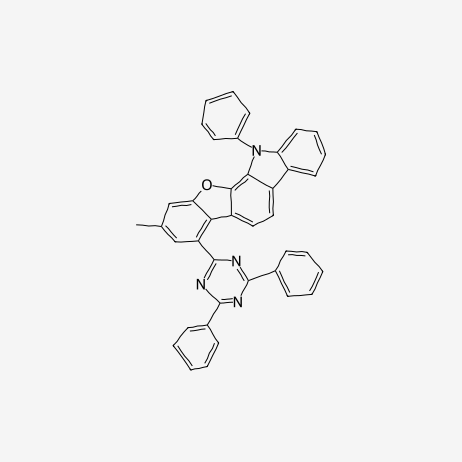 Cc1cc(-c2nc(-c3ccccc3)nc(-c3ccccc3)n2)c2c(c1)oc1c2ccc2c3ccccc3n(-c3ccccc3)c21